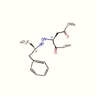 COC(=O)C[C@H](NN[C@@H](Cc1ccccc1)C(=O)O)C(=O)OC